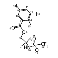 CC(C)(COC(=O)c1cc(I)cc(I)c1I)NS(=O)(=O)C(F)(F)F